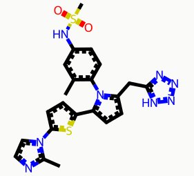 Cc1cc(NS(C)(=O)=O)ccc1-n1c(Cc2nnn[nH]2)ccc1-c1ccc(-n2ccnc2C)s1